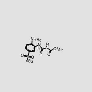 CCCCS(=O)(=O)c1ccc(NC(C)=O)c(NC(=S)NC(=O)OC)c1